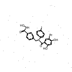 CC(C)c1cc(C(=O)N(Cc2ccc(C(=O)NO)cc2)c2ccc(I)cc2)c(O)cc1O